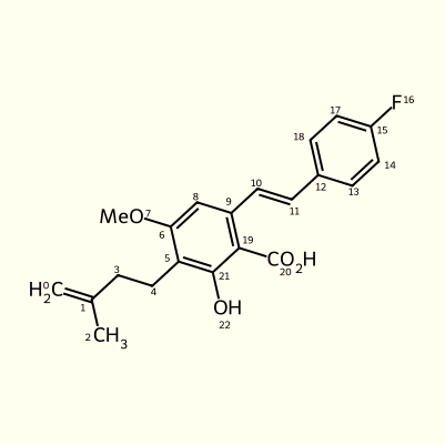 C=C(C)CCc1c(OC)cc(C=Cc2ccc(F)cc2)c(C(=O)O)c1O